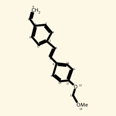 C=Cc1ccc(/C=C/c2ccc(OCOC)cc2)cc1